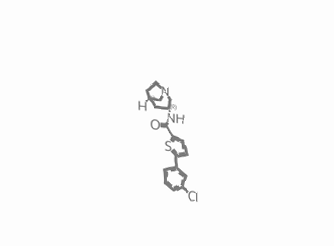 O=C(N[C@@H]1C[C@@H]2CCN(C2)C1)c1ccc(-c2cccc(Cl)c2)s1